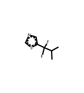 CC(C)C(F)(F)c1cncs1